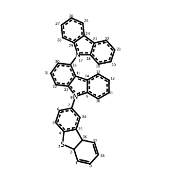 C1=CC2Sc3ccc(-n4c5ccccc5c5c(-n6c7ccccc7c7ccccc76)cccc54)cc3C2C=C1